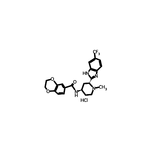 CN1CC[C@@H](NC(=O)c2ccc3c(c2)OCCO3)C[C@@H]1c1nc2ccc(C(F)(F)F)cc2[nH]1.Cl